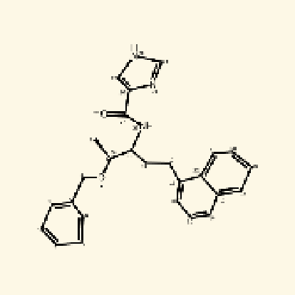 C[C@H](OCc1ccccc1)C(CCc1cccc2ccccc12)NC(=O)c1c[nH]cn1